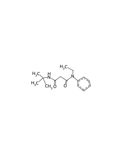 CCN(C(=O)CC(=O)NC(C)(C)C)c1ccccc1